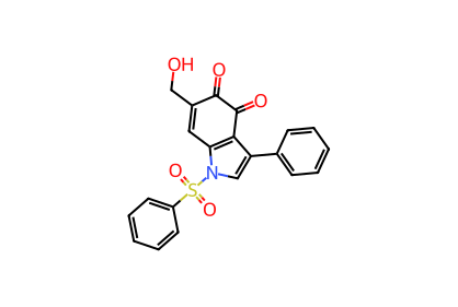 O=C1C(=O)c2c(-c3ccccc3)cn(S(=O)(=O)c3ccccc3)c2C=C1CO